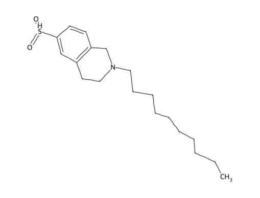 CCCCCCCCCCN1CCc2cc([SH](=O)=O)ccc2C1